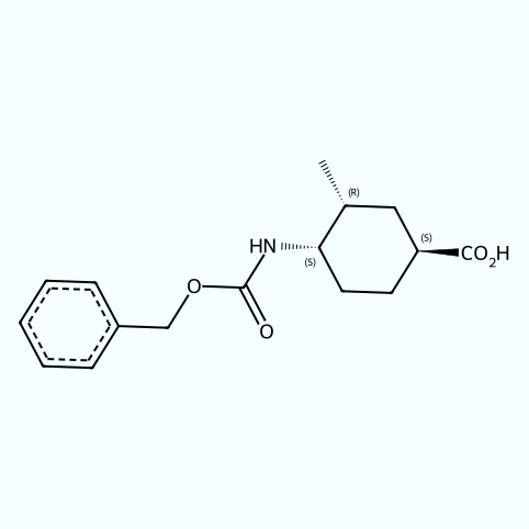 C[C@@H]1C[C@@H](C(=O)O)CC[C@@H]1NC(=O)OCc1ccccc1